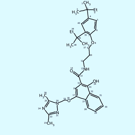 CCC(C)(C)c1ccc(OCCCNC(=O)c2cc(OCn3nc(C)nc3C)c3ccccc3c2O)c(C(C)(C)CC)c1